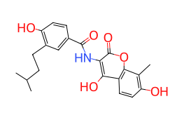 Cc1c(O)ccc2c(O)c(NC(=O)c3ccc(O)c(CCC(C)C)c3)c(=O)oc12